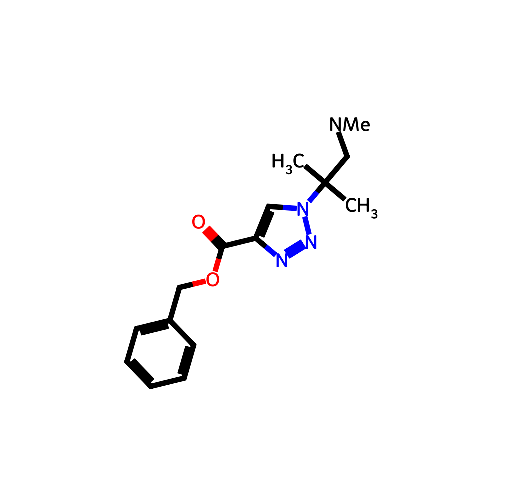 CNCC(C)(C)n1cc(C(=O)OCc2ccccc2)nn1